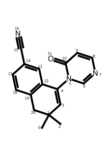 CC1(C)C=C(n2cnccc2=O)c2cc(C#N)ccc2C1